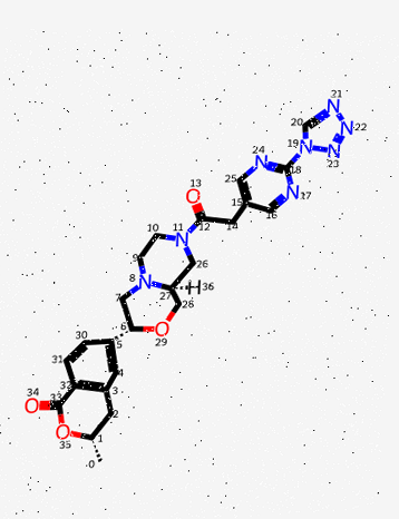 C[C@H]1Cc2cc([C@@H]3CN4CCN(C(=O)Cc5cnc(-n6cnnn6)nc5)C[C@H]4CO3)ccc2C(=O)O1